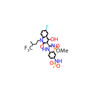 COP1(=O)N=C(c2c(O)c3cc(F)ccc3n(CCC(C)C(F)(F)F)c2=O)Nc2ccc(NS(C)(=O)=O)cc21